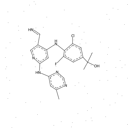 Cc1cc(Nc2cc(Nc3c(F)cc(C(C)(C)O)cc3Cl)c(C=N)cn2)ncn1